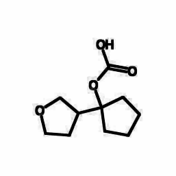 O=C(O)OC1(C2CCOC2)CCCC1